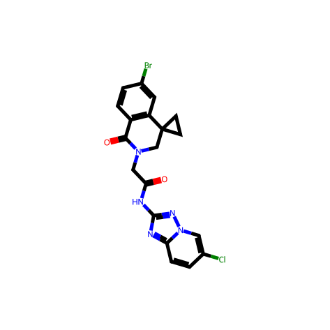 O=C(CN1CC2(CC2)c2cc(Br)ccc2C1=O)Nc1nc2ccc(Cl)cn2n1